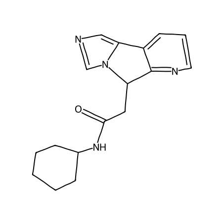 O=C(CC1c2ncccc2-c2cncn21)NC1CCCCC1